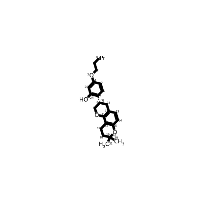 CC(C)CCOc1ccc([C@H]2COc3c(ccc4c3CCC(C)(C)O4)C2)c(O)c1